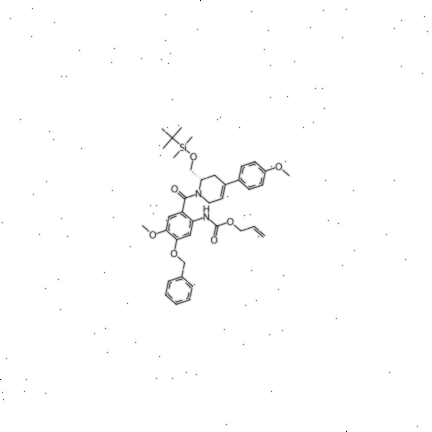 C=CCOC(=O)Nc1cc(OCc2ccccc2)c(OC)cc1C(=O)N1CC=C(c2ccc(OC)cc2)C[C@H]1CO[Si](C)(C)C(C)(C)C